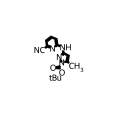 Cc1cc(Nc2cccc(C#N)n2)nn1C(=O)OC(C)(C)C